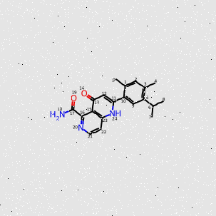 Cc1cc(C)c(C(C)C)cc1-c1cc(=O)c2c(C(N)=O)nccc2[nH]1